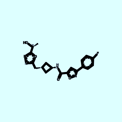 C[C@@H](O)c1nnc(C[C@H]2C[C@@H](NC(=O)c3cc(-c4ccc(F)cc4)no3)C2)o1